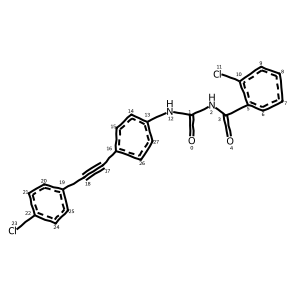 O=C(NC(=O)c1ccccc1Cl)Nc1ccc(C#Cc2ccc(Cl)cc2)cc1